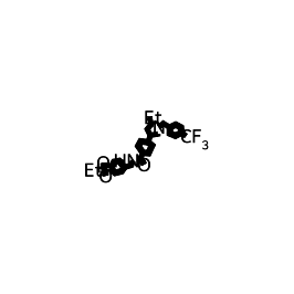 CCC1CC(c2ccc(C(=O)NCc3ccc(S(=O)(=O)CC)cc3)cc2)CN1Cc1ccc(C(F)(F)F)cc1